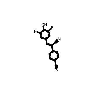 N#C/C(=C\c1cc(F)c(O)c(F)c1)c1ccc(C#N)cc1